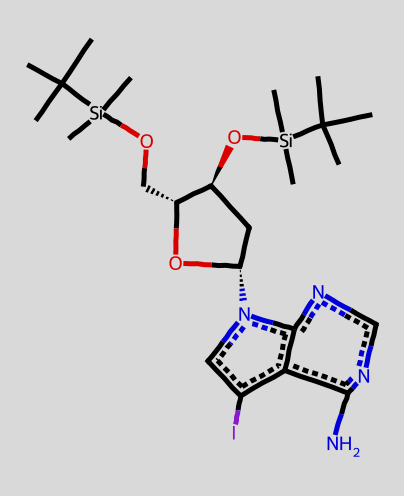 CC(C)(C)[Si](C)(C)OC[C@H]1O[C@@H](n2cc(I)c3c(N)ncnc32)C[C@@H]1O[Si](C)(C)C(C)(C)C